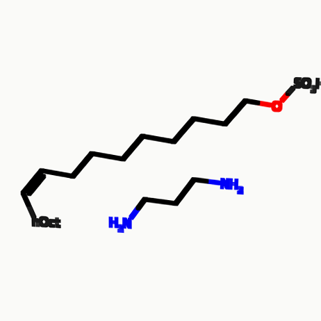 CCCCCCCC/C=C\CCCCCCCCOS(=O)(=O)O.NCCCN